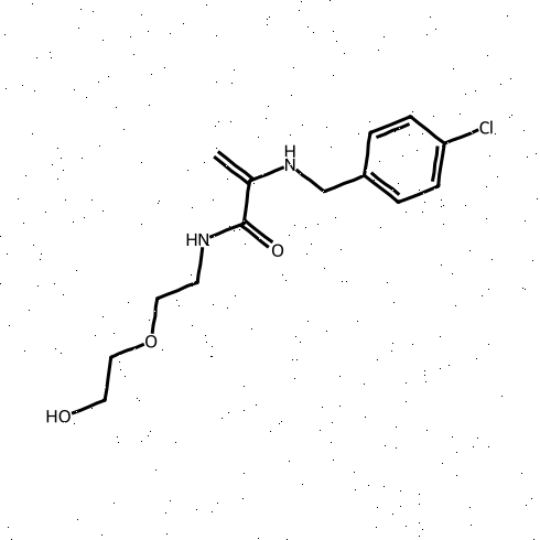 C=C(NCc1ccc(Cl)cc1)C(=O)NCCOCCO